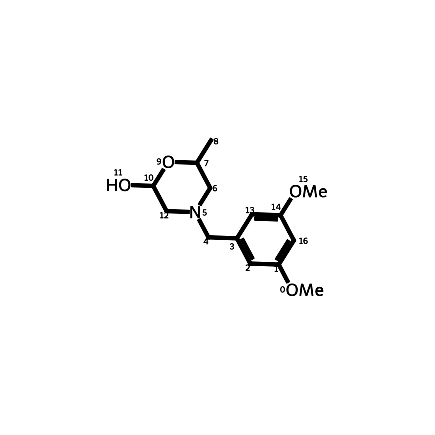 COc1cc(CN2CC(C)OC(O)C2)cc(OC)c1